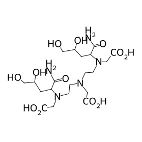 NC(=O)C(CC(O)CO)N(CCN(CCN(CC(=O)O)C(CC(O)CO)C(N)=O)CC(=O)O)CC(=O)O